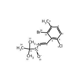 Cc1ccc(Cl)c(C=N[S@@+]([O-])C(C)(C)C)c1Br